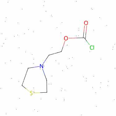 O=C(Cl)OCCN1CCSCC1